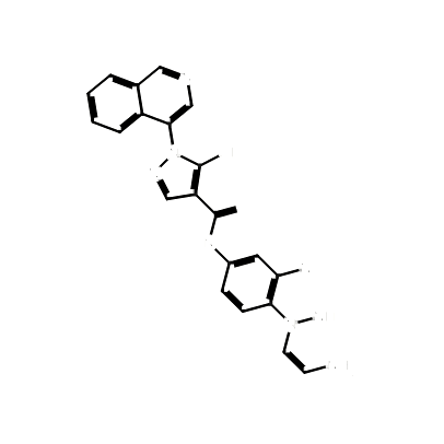 N/C=C\N(N)c1ccc(NC(=O)c2cnn(-c3cncc4ccccc34)c2C(F)(F)F)cc1N=O